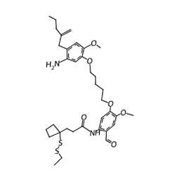 C=C(CCC)Cc1cc(OC)c(OCCCCCOc2cc(NC(=O)CCC3(SSCC)CCC3)c(C=O)cc2OC)cc1N